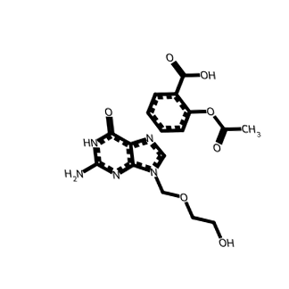 CC(=O)Oc1ccccc1C(=O)O.Nc1nc2c(ncn2COCCO)c(=O)[nH]1